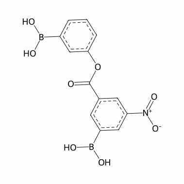 O=C(Oc1cccc(B(O)O)c1)c1cc(B(O)O)cc([N+](=O)[O-])c1